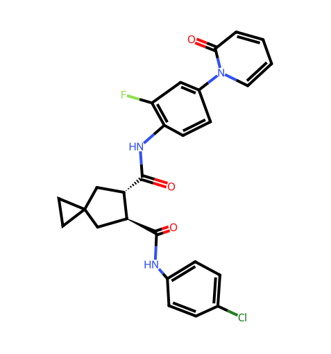 O=C(Nc1ccc(Cl)cc1)[C@H]1CC2(CC2)C[C@@H]1C(=O)Nc1ccc(-n2ccccc2=O)cc1F